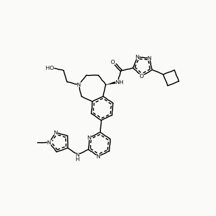 Cn1cc(Nc2nccc(-c3ccc4c(c3)CN(CCO)CC[C@H]4NC(=O)c3nnc(C4CCC4)o3)n2)cn1